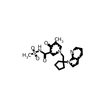 Cc1cn(CC2(n3ccc4cccnc43)CCCC2)cc(C(=O)NS(C)(=O)=O)c1=O